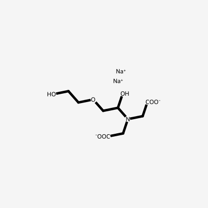 O=C([O-])CN(CC(=O)[O-])C(O)COCCO.[Na+].[Na+]